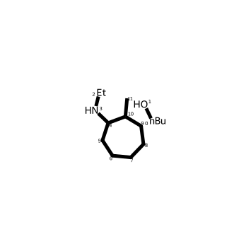 CCCCO.CCNC1CCCCCC1C